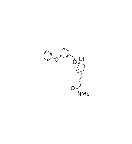 CCC1(OCc2cccc(Oc3ccccc3)c2)CCC2(CCCC(=O)NC)CC21